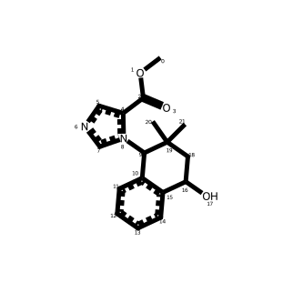 COC(=O)c1cncn1C1c2ccccc2C(O)CC1(C)C